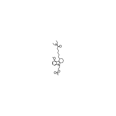 CCN(CC)C(=O)CCCCCC1CCCc2c1c1c(OC)cccc1n2CCOS(C)=O